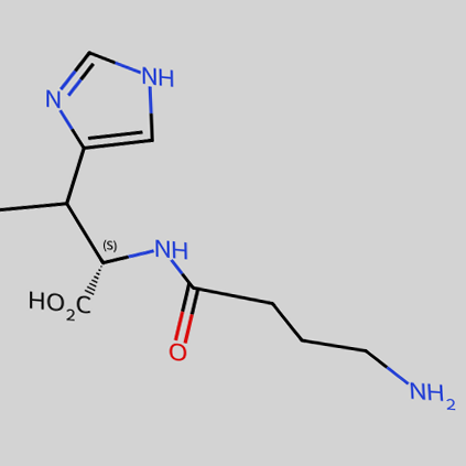 CC(c1c[nH]cn1)[C@H](NC(=O)CCCN)C(=O)O